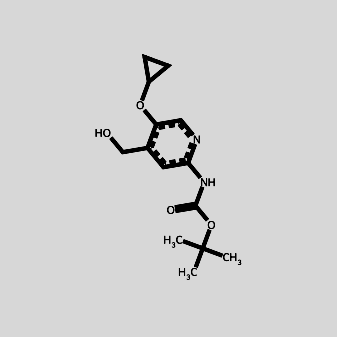 CC(C)(C)OC(=O)Nc1cc(CO)c(OC2CC2)cn1